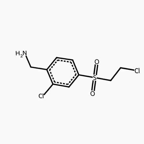 NCc1ccc(S(=O)(=O)CCCl)cc1Cl